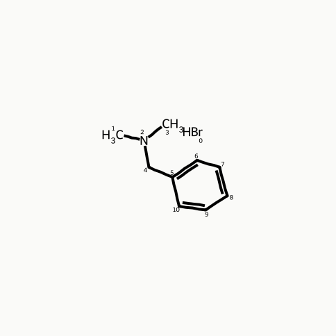 Br.CN(C)Cc1ccccc1